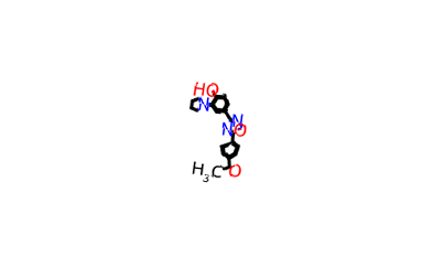 CC(=O)c1ccc(-c2nc(-c3ccc(O)c(N4CCCC4)c3)no2)cc1